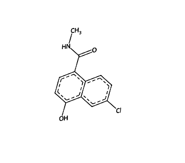 CNC(=O)c1ccc(O)c2cc(Cl)ccc12